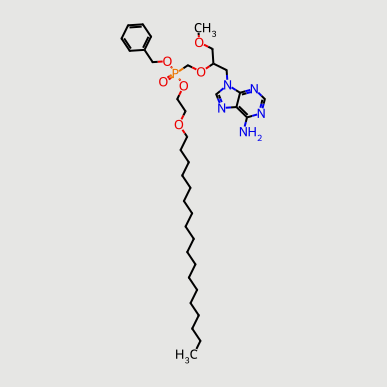 CCCCCCCCCCCCCCCCCCOCCOP(=O)(COC(COC)Cn1cnc2c(N)ncnc21)OCc1ccccc1